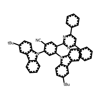 CC(C)(C)c1ccc2c(c1)c1ccccc1n2-c1cc(-n2c3ccccc3c3cc(C(C)(C)C)ccc32)c(-c2nc(-c3ccccc3)cc(-c3ccccc3)n2)cc1C#N